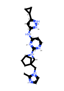 Cc1nccn1CC12CCC(C1)N(c1nccc(Nc3cc(C4CC4)[nH]n3)n1)C2